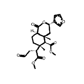 COC(=O)[C@H]1[C@](C)([C@@H](CC=O)C(=O)OC)CC[C@H]2C(=O)O[C@H](c3ccoc3)C[C@]12C